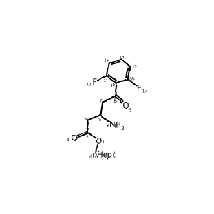 CCCCCCCOC(=O)CC(N)CC(=O)c1c(F)cccc1F